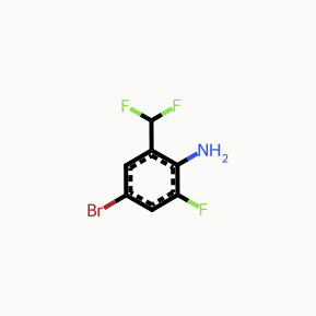 Nc1c(F)cc(Br)cc1C(F)F